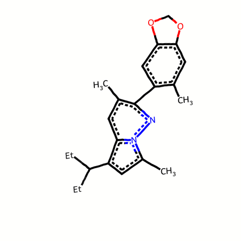 CCC(CC)c1cc(C)n2nc(-c3cc4c(cc3C)OCO4)c(C)cc12